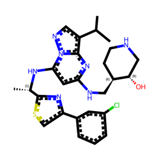 CC(C)c1cnn2c(N[C@@H](C)c3nc(-c4cccc(Cl)c4)cs3)cc(NC[C@H]3CCNC[C@@H]3O)nc12